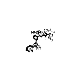 Cc1[nH]c(/C=C2\C(=O)Nc3ccc(/C(C=N)=C/Nc4ccccn4)cc32)c(C)c1C=O